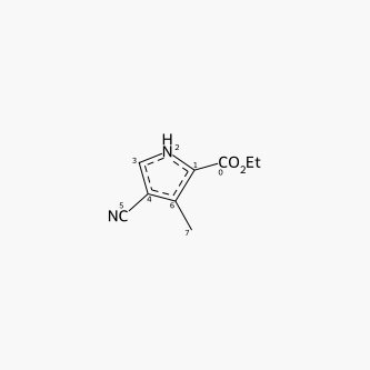 CCOC(=O)c1[nH]cc(C#N)c1C